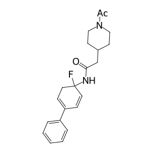 CC(=O)N1CCC(CC(=O)NC2(F)C=CC(c3ccccc3)=CC2)CC1